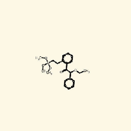 CCOC(C(=O)c1ccccc1CC[Si](OC)(OC)OC)c1ccccc1